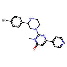 Cn1c(N2CCNC(c3ccc(C#N)cc3)C2)nc(-c2ccncc2)cc1=O